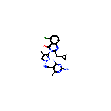 Cc1c[nH]nc1-n1c([C@@H](Nc2nc(N)nc(C)c2C#N)C2CC2)nc2cccc(Cl)c2c1=O